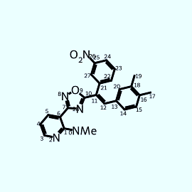 CNc1ncccc1-c1noc(C(=Cc2ccc(C)c(C)c2)c2cccc([N+](=O)[O-])c2)n1